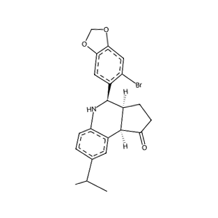 CC(C)c1ccc2c(c1)[C@@H]1C(=O)CC[C@@H]1[C@H](c1cc3c(cc1Br)OCO3)N2